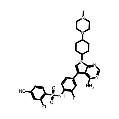 CN1CCN(C2CCC(n3cc(-c4ccc(NS(=O)(=O)c5ccc(C#N)cc5Cl)c(F)c4)c4c(N)ncnc43)CC2)CC1